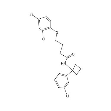 O=C(CCCOc1ccc(Cl)cc1Cl)NC1(c2cccc(Cl)c2)CCC1